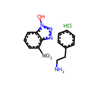 Cl.NCCc1ccccc1.O=[N+]([O-])c1cccc2c1nnn2O